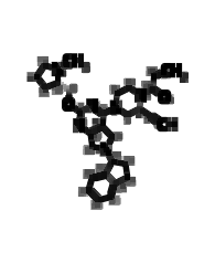 C#CC1CN(c2nc(OC[C@@H]3CCCN3C)nc3c2CN(C2CCc4ccccc42)C3)CCN1C(=O)C=C